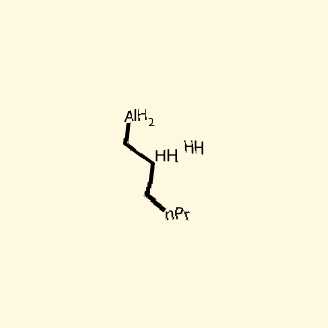 CCCCC[CH2][AlH2].[HH].[HH]